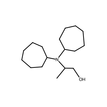 CC(CO)N(C1CCCCCC1)C1CCCCCC1